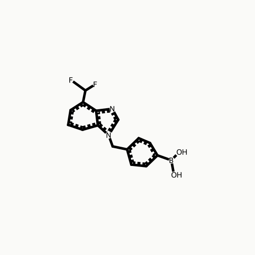 OB(O)c1ccc(Cn2cnc3c(C(F)F)cccc32)cc1